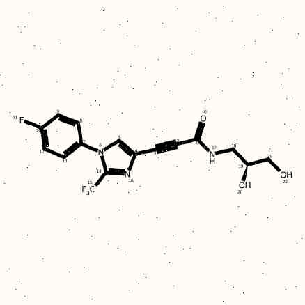 O=C(C#Cc1cn(-c2ccc(F)cc2)c(C(F)(F)F)n1)NC[C@H](O)CO